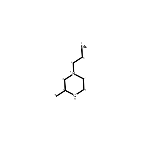 CC1CN(CCC(C)(C)C)CCO1